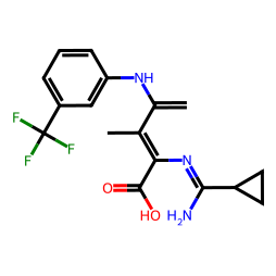 C=C(Nc1cccc(C(F)(F)F)c1)/C(C)=C(\N=C(/N)C1CC1)C(=O)O